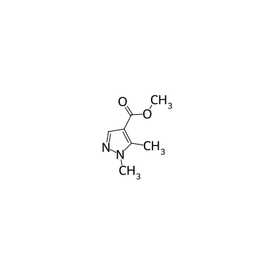 COC(=O)c1cnn(C)c1C